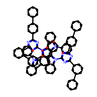 c1ccc(-c2ccc(-c3nc(-c4ccccc4-c4cccc(-c5cc6c7ccccc7n(-c7ccccc7)c6c6c5c5ccccc5n6-c5nc(-c6ccc(-c7ccccc7)cc6)nc(-c6cccc(-c7ccccc7)c6)n5)c4)nc(-n4c5ccccc5c5ccc6c7ccccc7n(-c7ccccc7)c6c54)n3)cc2)cc1